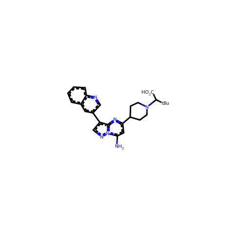 CC(C)(C)C(C(=O)O)N1CCC(c2cc(N)n3ncc(-c4cnc5ccccc5c4)c3n2)CC1